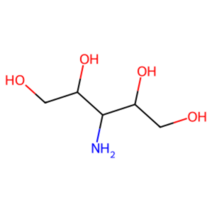 NC(C(O)CO)C(O)CO